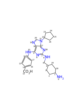 NC1CCC(CNc2nc(Nc3ccc(C(=O)O)cc3)c3ncn(C4CCCC4)c3n2)CC1